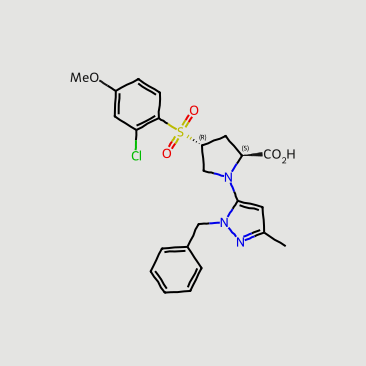 COc1ccc(S(=O)(=O)[C@@H]2C[C@@H](C(=O)O)N(c3cc(C)nn3Cc3ccccc3)C2)c(Cl)c1